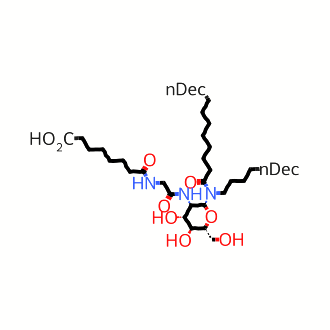 CCCCCCCCCCCCCCCCCC(=O)N(CCCCCCCCCCCCCC)[C@@H]1O[C@H](CO)[C@@H](O)[C@H](O)[C@@H]1NC(=O)CNC(=O)CCCCCCC(=O)O